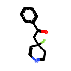 O=C(CC1(F)C=CN=CC1)c1ccccc1